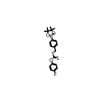 CC1(C)OB(c2ccc(CSC(=S)Oc3ccc(F)cc3)cc2)OC1(C)C